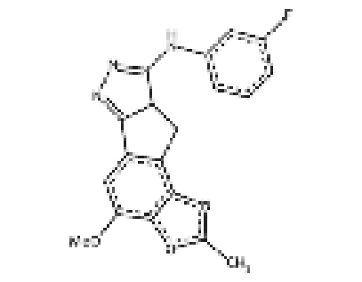 COc1cc2c(c3nc(C)oc13)CC1C(Nc3cccc(F)c3)=NN=C21